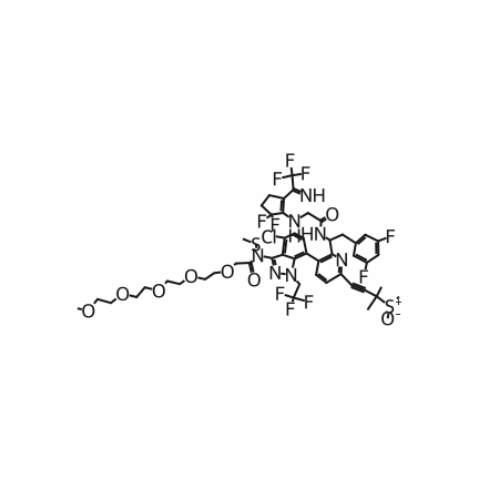 COCCOCCOCCOCCOCC(=O)N(SC)c1nn(CC(F)(F)F)c2c(-c3ccc(C#CC(C)(C)[S+](C)[O-])nc3C(Cc3cc(F)cc(F)c3)NC(=O)CNC3=C(C(=N)C(F)(F)F)CCC3(F)F)ccc(Cl)c12